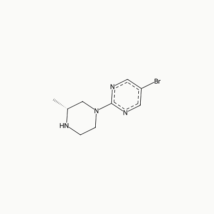 C[C@@H]1CN(c2ncc(Br)cn2)CCN1